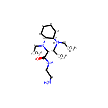 NCCNC(=O)CN(CC(=O)O)[C@@H]1CCCC[C@H]1N(CC(=O)O)CC(=O)O